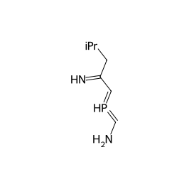 CC(C)CC(=N)C=[PH]=CN